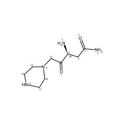 NC(=O)C[C@H](N)C(=O)CN1CCNCC1